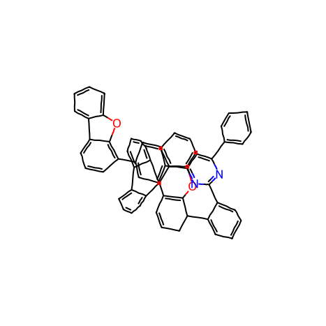 C1=CC2=C(Oc3ccccc3C23c2ccccc2-c2ccccc23)C(c2ccccc2-c2nc(-c3ccccc3)cc(-c3ccc(-c4cccc5c4oc4ccccc45)cc3)n2)C1